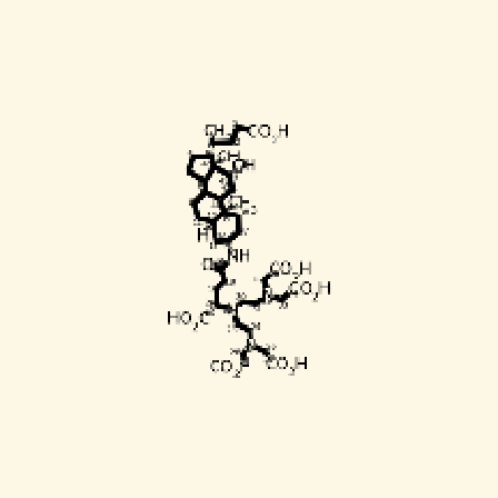 CC(CCC(=O)O)[C@H]1CCC2C3CC[C@@H]4C[C@@H](NC(=O)CC[C@@H](C(=O)O)N(CCN(CC(=O)O)CC(=O)O)CCN(CC(=O)O)CC(=O)O)CC[C@]4(C)C3C[C@H](O)[C@@]21C